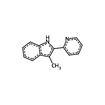 Cc1c(-c2ccccn2)[nH]c2ccccc12